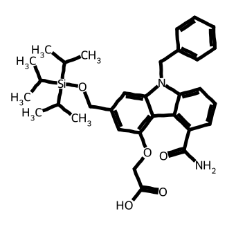 CC(C)[Si](OCc1cc(OCC(=O)O)c2c3c(C(N)=O)cccc3n(Cc3ccccc3)c2c1)(C(C)C)C(C)C